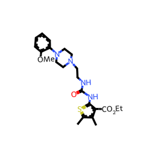 CCOC(=O)c1c(NC(=O)NCCN2CCN(c3ccccc3OC)CC2)sc(C)c1C